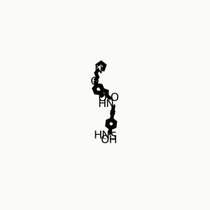 O=C(NCC#Cc1ccc(C(=S)NO)cc1)c1cc2cc(OCCN3CCCC3)ccc2o1